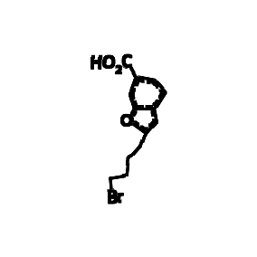 O=C(O)c1ccc2cc(CCCCBr)oc2c1